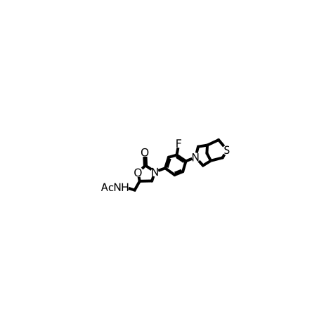 CC(=O)NCC1CN(c2ccc(N3CC4CSCC(C4)C3)c(F)c2)C(=O)O1